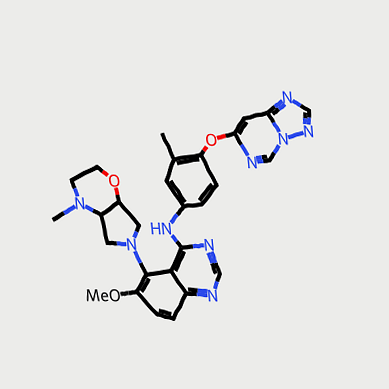 COc1ccc2ncnc(Nc3ccc(Oc4cc5ncnn5cn4)c(C)c3)c2c1N1CC2OCCN(C)C2C1